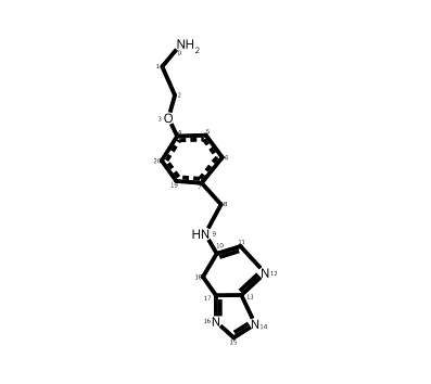 NCCOc1ccc(CNC2=CN=C3N=CN=C3C2)cc1